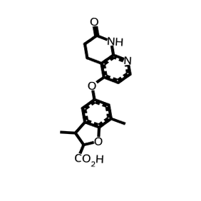 Cc1cc(Oc2ccnc3c2CCC(=O)N3)cc2c1OC(C(=O)O)C2C